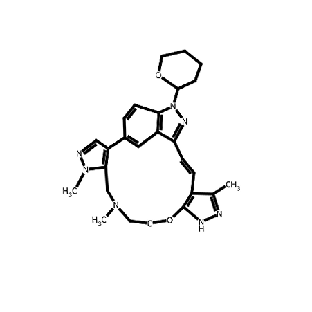 Cc1n[nH]c2c1/C=C/c1nn(C3CCCCO3)c3ccc(cc13)-c1cnn(C)c1CN(C)CCO2